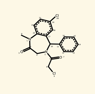 CN1C(=O)CN(C(=O)CCl)C(c2ccccc2)c2cc(Cl)ccc21